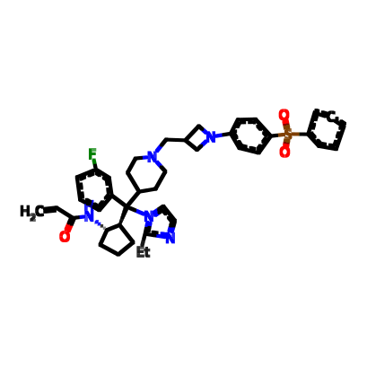 C=CC(=O)N[C@H]1CCC[C@@H]1C(c1cccc(F)c1)(C1CCN(CC2CN(c3ccc(S(=O)(=O)c4ccccc4)cc3)C2)CC1)n1ccnc1CC